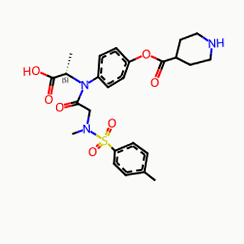 Cc1ccc(S(=O)(=O)N(C)CC(=O)N(c2ccc(OC(=O)C3CCNCC3)cc2)[C@@H](C)C(=O)O)cc1